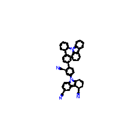 N#Cc1ccc2c(c1)c1c(n2-c2ccc(-c3ccc(-c4ccccc4-n4c5ccccc5c5ccccc54)cc3)c(C#N)c2)C=CCC1C#N